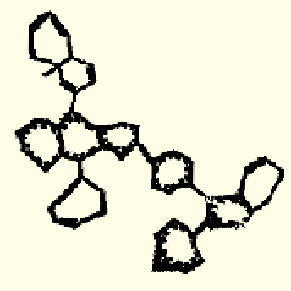 CC12C=C(c3c4ccccc4c(C4=CC=CCC4)c4cc(-c5ccc(-n6c(-c7ccccc7)nc7c6C=CCC7)cc5)ccc34)C=CC1C=CCC2